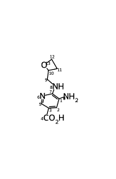 Nc1cc(C(=O)O)cnc1NCC1CCO1